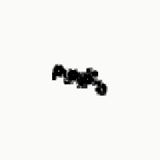 O=[N+]([O-])c1cc2c(Nc3ccc(OCc4cccc(F)c4)c(Cl)c3)ncnc2cc1OCCN1CCOCC1